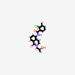 Cc1cccc(C(=O)Nc2cccc3c(=O)n(CC(C)O)ccc23)c1Cl